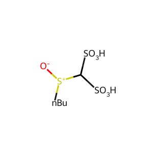 CCCC[S+]([O-])C(S(=O)(=O)O)S(=O)(=O)O